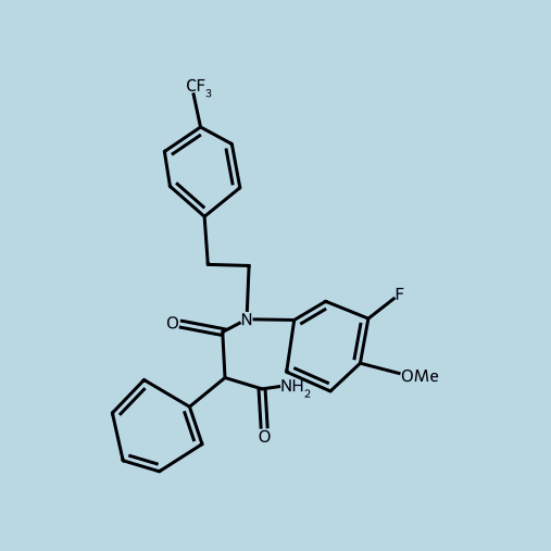 COc1ccc(N(CCc2ccc(C(F)(F)F)cc2)C(=O)C(C(N)=O)c2ccccc2)cc1F